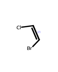 Cl/C=C\Br